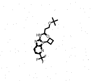 CC(C)(C)OCCC(=O)Nc1nc2ccc(C(F)(F)F)nc2n1C1CCC1